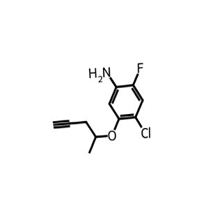 C#CCC(C)Oc1cc(N)c(F)cc1Cl